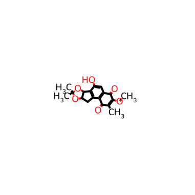 COC1=C(C)C(=O)c2c(cc(O)c3c2CC2OC(C)(C)OC32)C1=O